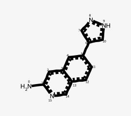 Nc1cc2cc(-c3cn[nH]c3)ccc2cn1